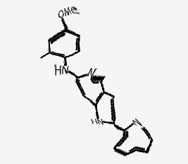 COc1ccc(Nc2cc3[nH]c(-c4ccccn4)cc3cn2)c(C)c1